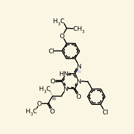 COC(=O)[C@H](C)Cn1c(=O)[nH]/c(=N\c2ccc(OC(C)C)c(Cl)c2)n(Cc2ccc(Cl)cc2)c1=O